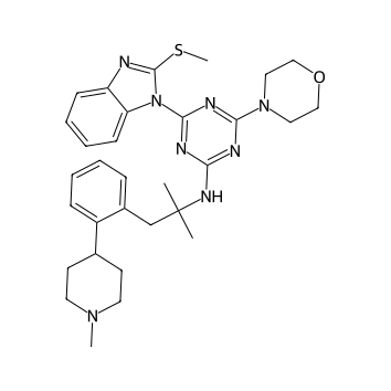 CSc1nc2ccccc2n1-c1nc(NC(C)(C)Cc2ccccc2C2CCN(C)CC2)nc(N2CCOCC2)n1